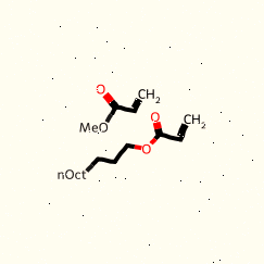 C=CC(=O)OC.C=CC(=O)OCCCCCCCCCCC